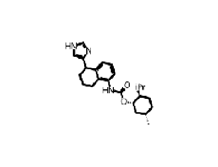 CC(C)[C@H]1CC[C@H](C)C[C@@H]1OC(=O)Nc1cccc2c1CCCC2c1c[nH]cn1